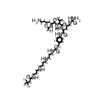 CC(=O)N[C@@H](CCCCN)C(=O)NC(C(=O)N[C@@H](CCCNC(N)=O)C(=O)Nc1ccc(COC(=O)NCCCNCCCCNCCCNC(=O)CC(C)(C)C)cc1)C(C)C